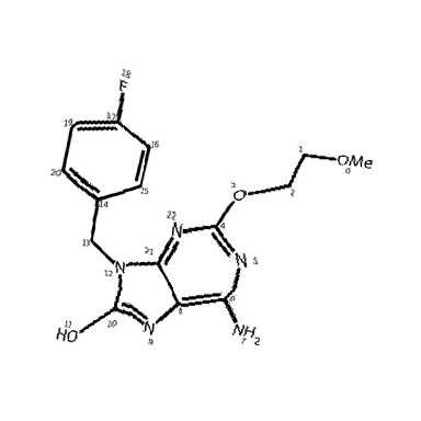 COCCOc1nc(N)c2nc(O)n(Cc3ccc(F)cc3)c2n1